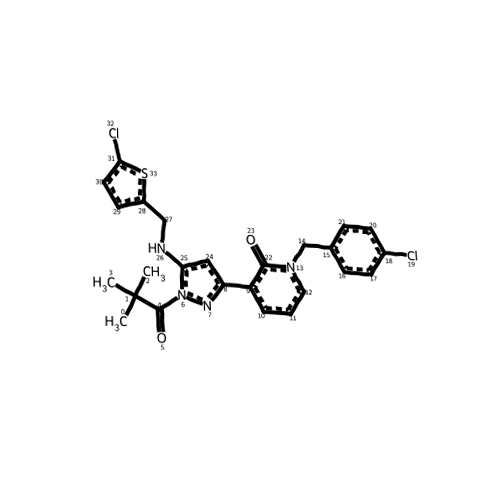 CC(C)(C)C(=O)n1nc(-c2cccn(Cc3ccc(Cl)cc3)c2=O)cc1NCc1ccc(Cl)s1